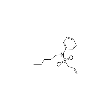 C=CCS(=O)(=O)N([CH]CCCC)c1ccccc1